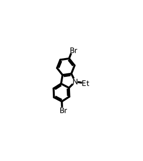 CCn1c2cc(Br)ccc2c2ccc(Br)cc21